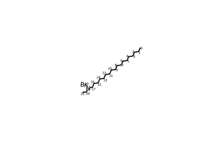 CCCCCCCCCCCCCCCCCCN(Br)CC